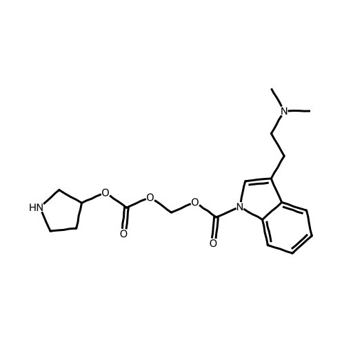 CN(C)CCc1cn(C(=O)OCOC(=O)OC2CCNC2)c2ccccc12